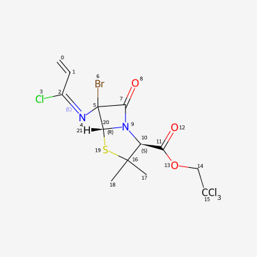 C=C/C(Cl)=N\C1(Br)C(=O)N2[C@@H](C(=O)OCC(Cl)(Cl)Cl)C(C)(C)S[C@@H]21